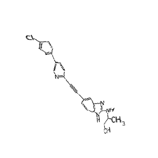 CC(CO)Nc1nc2cc(C#Cc3ccc(-c4ccc(Cl)cc4)cn3)ccc2[nH]1